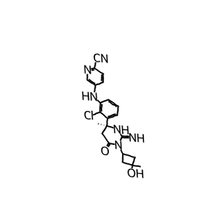 CC1(O)CC(N2C(=N)N[C@](C)(c3cccc(Nc4ccc(C#N)nc4)c3Cl)CC2=O)C1